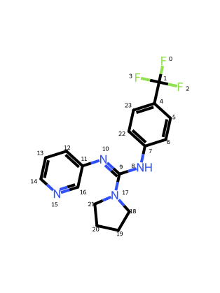 FC(F)(F)c1ccc(NC(=Nc2cccnc2)N2CCCC2)cc1